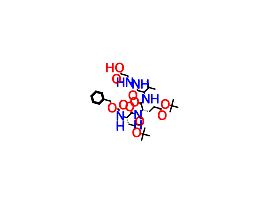 CC(C)C(NC(=O)[C@H](CCC(=O)OC(C)(C)C)NC(=O)[C@H](CC(=O)OC(C)(C)C)NC(=O)OCc1ccccc1)C(=O)NNCC(=O)O